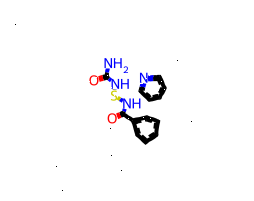 NC(=O)NSNC(=O)c1ccccc1.c1ccncc1